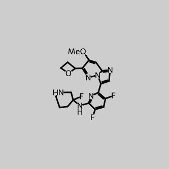 COc1cc2ncc(-c3nc(NC4(F)CCCNC4)c(F)cc3F)n2nc1C1CCO1